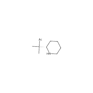 CC(=O)C(C)(C)[C@@H]1CCCCN1